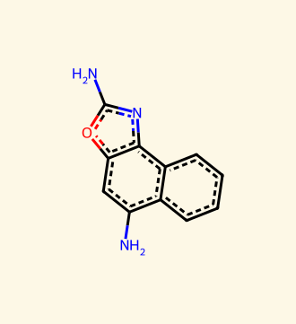 Nc1nc2c(cc(N)c3ccccc32)o1